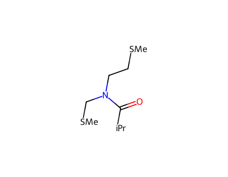 CSCCN(CSC)C(=O)C(C)C